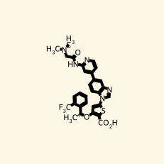 C[C@@H](Oc1cc(-n2cnc3cc(-c4ccnc(NC(=O)CN(C)C)c4)ccc32)sc1C(=O)O)c1ccccc1C(F)(F)F